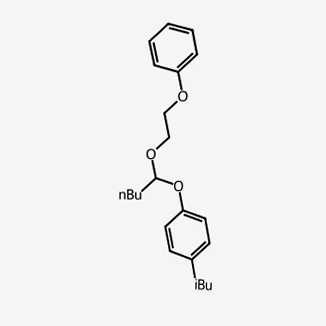 CCCCC(OCCOc1ccccc1)Oc1ccc(C(C)CC)cc1